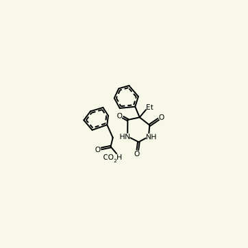 CCC1(c2ccccc2)C(=O)NC(=O)NC1=O.O=C(O)C(=O)Cc1ccccc1